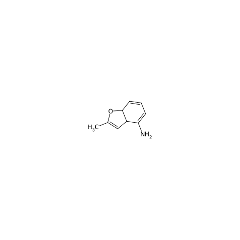 CC1=CC2C(N)=CC=CC2O1